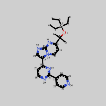 CC[Si](CC)(CC)OC(C)(C)c1ccn2c(-c3ccnc(-c4ccncc4)n3)cnc2n1